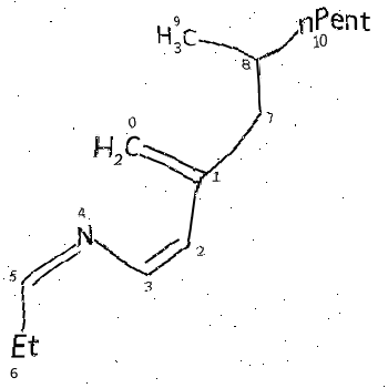 C=C(/C=C\N=C/CC)CC(C)CCCCC